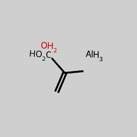 C=C(C)C(=O)O.O.[AlH3]